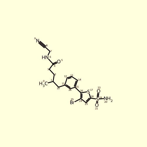 CC(CCC(=O)NCC#N)Cc1cccc(-c2sc(S(N)(=O)=O)cc2Br)c1